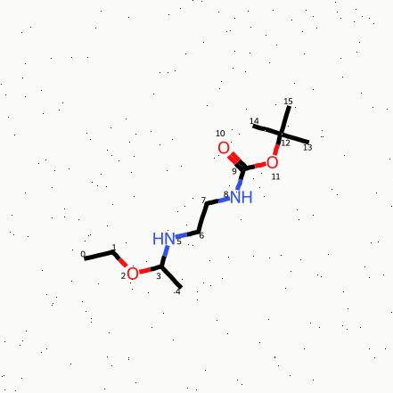 CCOC(C)NCCNC(=O)OC(C)(C)C